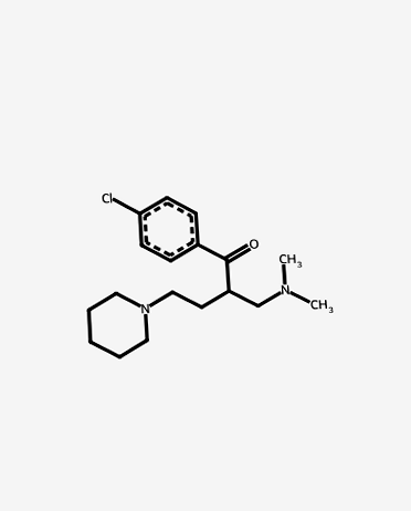 CN(C)CC(CCN1CCCCC1)C(=O)c1ccc(Cl)cc1